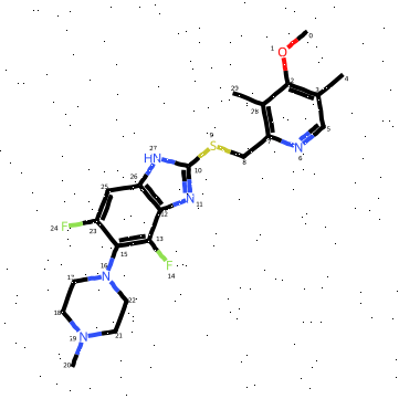 COc1c(C)cnc(CSc2nc3c(F)c(N4CCN(C)CC4)c(F)cc3[nH]2)c1C